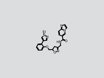 CCn1cc(-c2ccccc2OCC2CC(CNC(=O)c3ccc4nccn4c3)=NO2)cn1